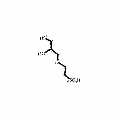 O=S(=O)(O)CCSCC(O)CS